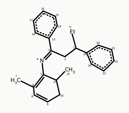 CCC(C/C(=N\C1=C(C)C=CCC1C)c1ccccc1)c1ccccc1